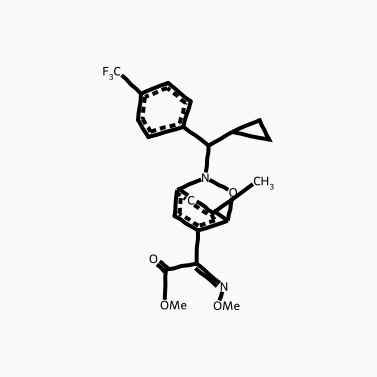 CON=C(C(=O)OC)c1cc2cc(C)c1ON2C(c1ccc(C(F)(F)F)cc1)C1CC1